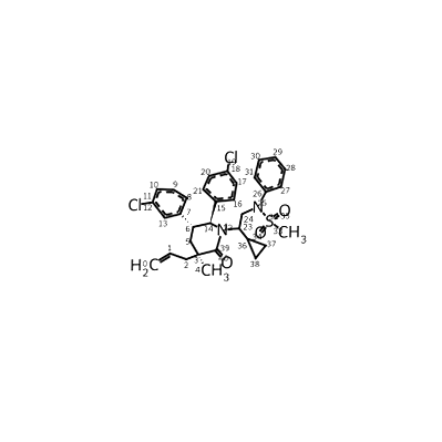 C=CC[C@@]1(C)C[C@H](c2cccc(Cl)c2)[C@@H](c2ccc(Cl)cc2)N(C(CN(c2ccccc2)S(C)(=O)=O)C2CC2)C1=O